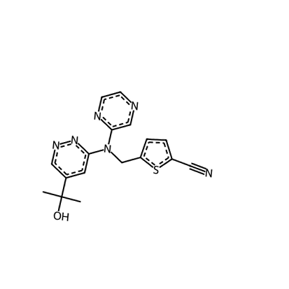 CC(C)(O)c1cnnc(N(Cc2ccc(C#N)s2)c2cnccn2)c1